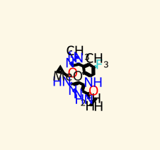 [2H]C([2H])([2H])NC(=O)c1nnc(NC(=O)C2CC2)cc1Nc1cc(F)c(C)c(-c2cnn(C)n2)c1OC